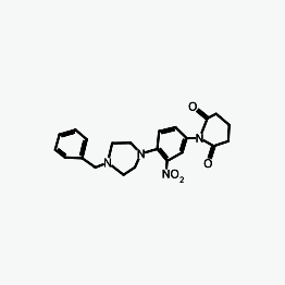 O=C1CCCC(=O)N1c1ccc(N2CCN(Cc3ccccc3)CC2)c([N+](=O)[O-])c1